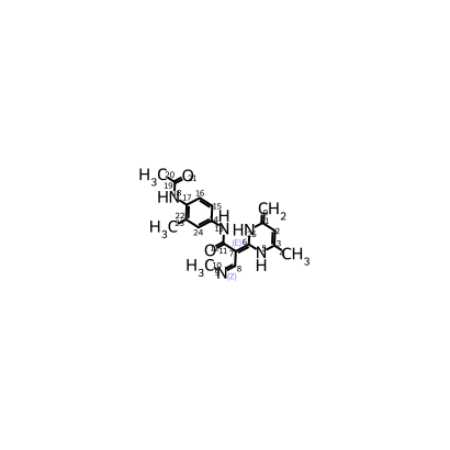 C=C1C=C(C)N/C(=C(\C=N/C)C(=O)Nc2ccc(NC(C)=O)c(C)c2)N1